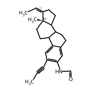 CC#Cc1cc2c(cc1NC=O)CCC1C2CC[C@]2(C)/C(=C\C)CCC12